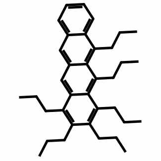 CCCc1c(CCC)c(CCC)c2c(CCC)c3c(CCC)c4ccccc4cc3cc2c1CCC